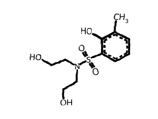 Cc1cccc(S(=O)(=O)N(CCO)CCO)c1O